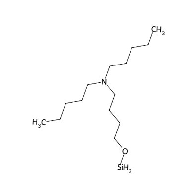 CCCCCN(CCCCC)CCCCO[SiH3]